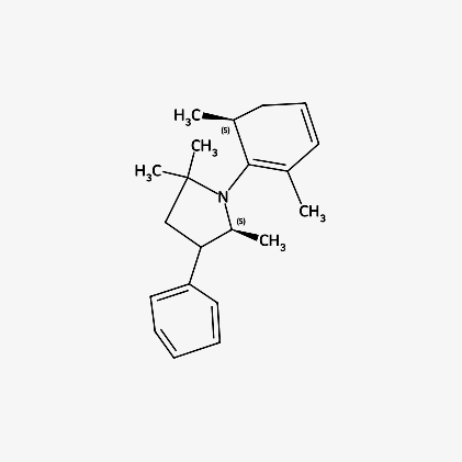 CC1=C(N2[C@@H](C)C(c3ccccc3)CC2(C)C)[C@@H](C)CC=C1